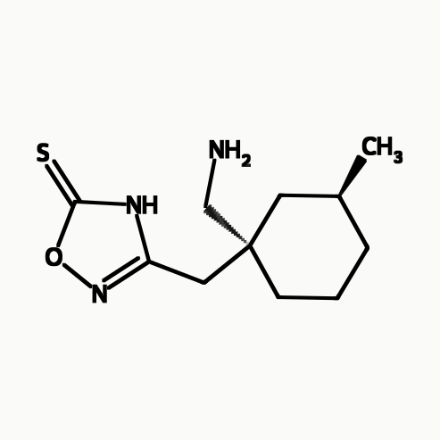 C[C@H]1CCC[C@@](CN)(Cc2noc(=S)[nH]2)C1